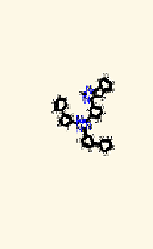 c1ccc(-c2cccc(-c3nc(-c4cccc(-c5ccccc5)c4)nc(-c4cccc(-c5ncnc6c5Cc5ccccc5-6)c4)n3)c2)cc1